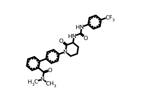 CN(C)C(=O)c1ccccc1-c1ccc(N2CCCC(NC(=O)Nc3ccc(C(F)(F)F)cc3)C2=O)cc1